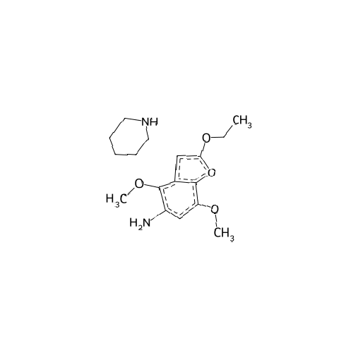 C1CCNCC1.CCOc1cc2c(OC)c(N)cc(OC)c2o1